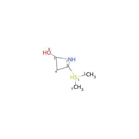 C[SH](C)C1CC(O)N1